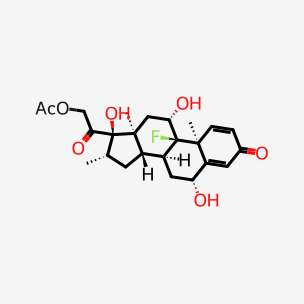 CC(=O)OCC(=O)[C@@]1(O)[C@@H](C)C[C@H]2[C@@H]3C[C@@H](O)C4=CC(=O)C=C[C@]4(C)[C@@]3(F)[C@@H](O)C[C@@]21C